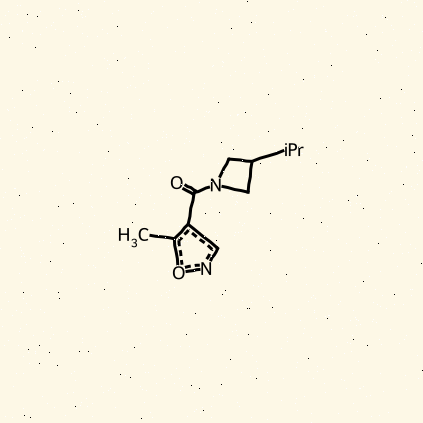 Cc1oncc1C(=O)N1CC(C(C)C)C1